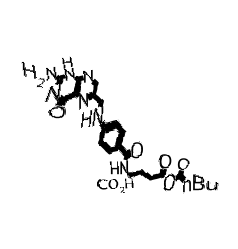 CCCCC(=O)OC(=O)CC[C@H](NC(=O)c1ccc(NCc2cnc3[nH]c(N)nc(=O)c3n2)cc1)C(=O)O